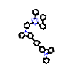 c1ccc(-c2nc(-c3cccc(-n4c5ccccc5c5cc(-c6ccc(-c7ccc8c(c7)c7ccccc7n8-c7ccccc7)cc6)ccc54)c3)nc(-c3ccccc3-c3ccccc3)n2)cc1